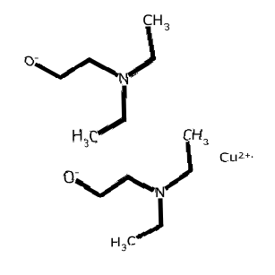 CCN(CC)CC[O-].CCN(CC)CC[O-].[Cu+2]